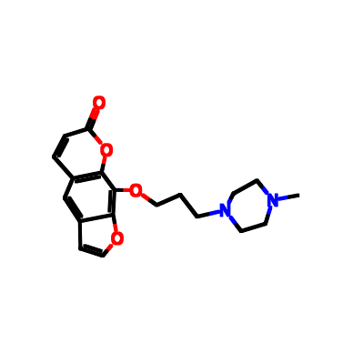 CN1CCN(CCCOc2c3occc3cc3ccc(=O)oc23)CC1